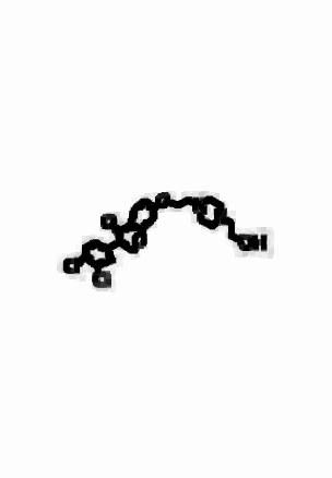 O=c1c(-c2ccc(Cl)c(Cl)c2)coc2cc(OCCN3CCN(CCO)CC3)ccc12